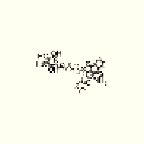 Nc1c(Oc2ccccc2)cc(OCCCCCOCC2O[C@@H](O)C(O)C(O)[C@H]2O)c2c1C(=O)c1ccccc1C2=O